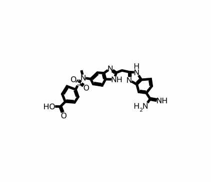 CN(c1ccc2[nH]c(Cc3nc4cc(C(=N)N)ccc4[nH]3)nc2c1)S(=O)(=O)c1ccc(C(=O)O)cc1